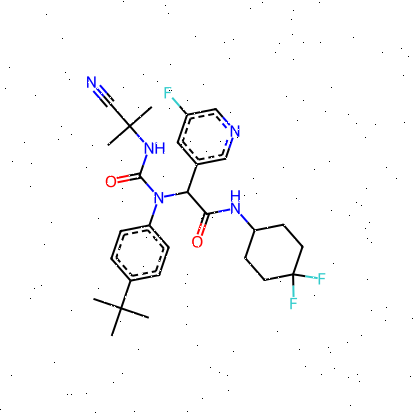 CC(C)(C#N)NC(=O)N(c1ccc(C(C)(C)C)cc1)C(C(=O)NC1CCC(F)(F)CC1)c1cncc(F)c1